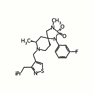 CC(C)Cc1nscc1CN1CC[C@@]2(C[C@@H]1C)CN(C)S(=O)(=O)N2c1cccc(F)c1